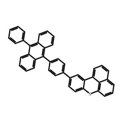 c1ccc(-c2c3ccccc3c(-c3ccc(-c4ccc5c(c4)-c4cccc6cccc(c46)S5)cc3)c3ccccc23)cc1